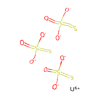 O=S([O-])([O-])=S.O=S([O-])([O-])=S.O=S([O-])([O-])=S.[U+6]